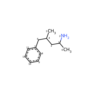 CC(N)CC(C)Cc1ccccc1